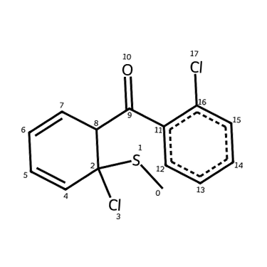 CSC1(Cl)C=CC=CC1C(=O)c1ccccc1Cl